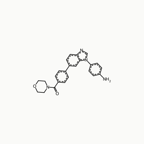 Nc1ccc(-n2cnc3ccc(-c4ccc(C(=O)N5CCOCC5)cc4)cc32)cc1